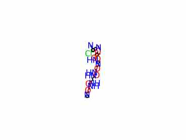 Cc1cc(S(=O)(=O)N[C@H]2CCN(CCOCCNC(=O)NCCCCNC(=O)NCCOCCN3CCCC3)C2)ccc1O[C@H]1c2cc(Cl)cc(C#N)c2C[C@@H]1N(C)C